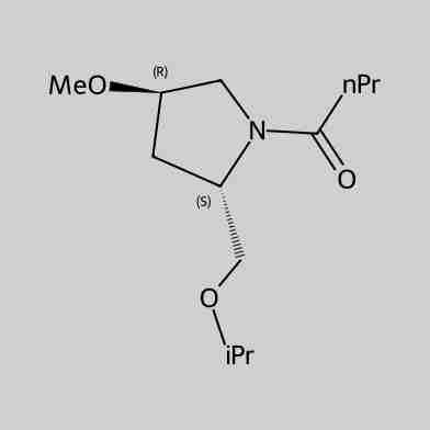 CCCC(=O)N1C[C@H](OC)C[C@H]1COC(C)C